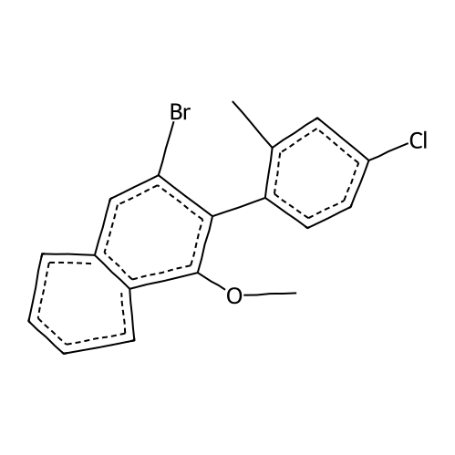 COc1c(-c2ccc(Cl)cc2C)c(Br)cc2ccccc12